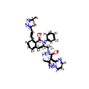 Cc1nnc(C#Cc2cccc3cc([C@@H](C)NC(=O)c4c(C)nn5cccnc45)n(-c4ccccc4)c(=O)c23)s1